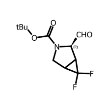 CC(C)(C)OC(=O)N1CC2C([C@@H]1C=O)C2(F)F